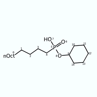 CCCCCCCCCCCCP(=O)(O)OC1CCCCC1